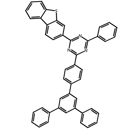 c1ccc(-c2cc(-c3ccccc3)cc(-c3ccc(-c4nc(-c5ccccc5)nc(-c5ccc6c(c5)sc5ccccc56)n4)cc3)c2)cc1